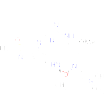 C=CC(=O)Nc1cc(Nc2nccc(-n3cc(S(C)(=N)=O)c4ccccc43)n2)c(OC)cc1N(C)CCN(C)C